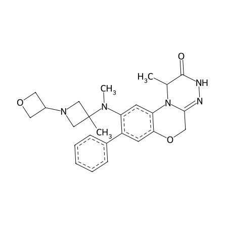 CC1C(=O)NN=C2COc3cc(-c4ccccc4)c(N(C)C4(C)CN(C5COC5)C4)cc3N21